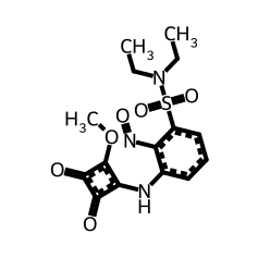 CCN(CC)S(=O)(=O)c1cccc(Nc2c(OC)c(=O)c2=O)c1N=O